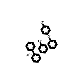 [Al+3].[O-]c1ccccc1.[O-]c1ccccc1.[O-]c1ccccc1.c1ccc(-c2ccccc2)cc1